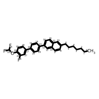 CCCCCCCc1ccc2cc(-c3ccc(-c4ccc(OC(F)F)c(F)c4)cc3)ccc2c1